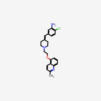 Cc1ccc2c(OCCN3CCC(=Cc4ccc(Cl)c(N)c4)CC3)cccc2n1